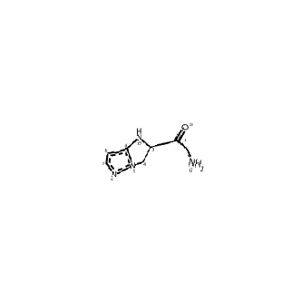 NC(=O)C1Cn2nccc2N1